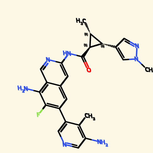 Cc1c(N)cncc1-c1cc2cc(NC(=O)[C@H]3[C@H](C)[C@@H]3c3cnn(C)c3)ncc2c(N)c1F